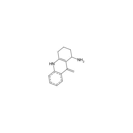 C=C1C2=C(CCCC2N)Nc2ccccc21